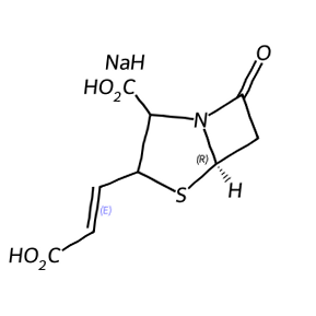 O=C(O)/C=C/C1S[C@@H]2CC(=O)N2C1C(=O)O.[NaH]